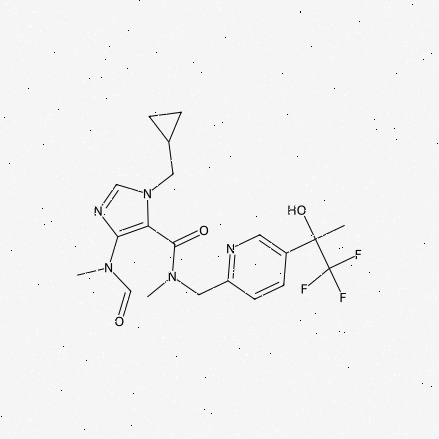 CN(Cc1ccc(C(C)(O)C(F)(F)F)cn1)C(=O)c1c(N(C)C=O)ncn1CC1CC1